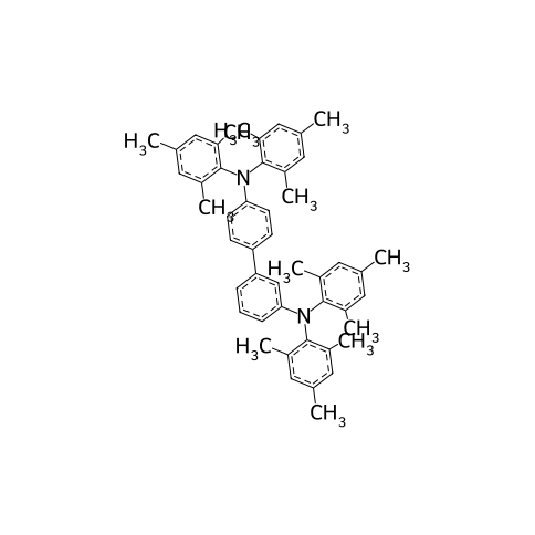 Cc1cc(C)c(N(c2ccc(-c3cccc(N(c4c(C)cc(C)cc4C)c4c(C)cc(C)cc4C)c3)cc2)c2c(C)cc(C)cc2C)c(C)c1